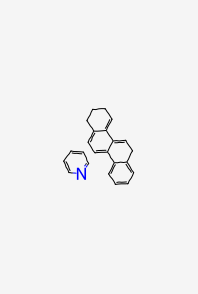 C1=c2c(ccc3c2=CCc2ccccc2-3)CCC1.c1ccncc1